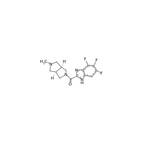 CN1C[C@@H]2CN(C(=O)c3nc4c(F)c(F)c(F)cc4[nH]3)C[C@@H]2C1